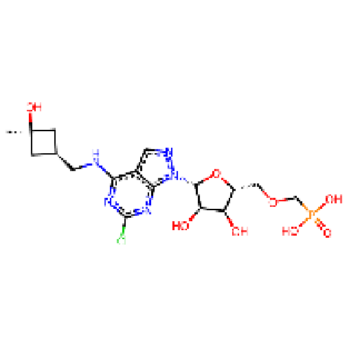 C[C@]1(O)C[C@@H](CNc2nc(Cl)nc3c2cnn3[C@@H]2O[C@H](COCP(=O)(O)O)[C@@H](O)[C@H]2O)C1